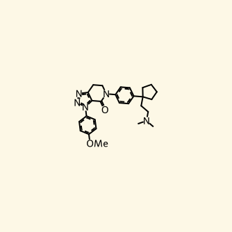 COc1ccc(-n2nnc3c2C(=O)N(c2ccc(C4(CCN(C)C)CCCC4)cc2)CC3)cc1